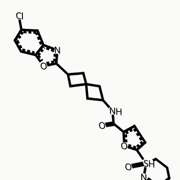 O=C(NC1CC2(C1)CC(c1nc3cc(Cl)ccc3o1)C2)c1ccc([SH]2(=O)CCCC=N2)o1